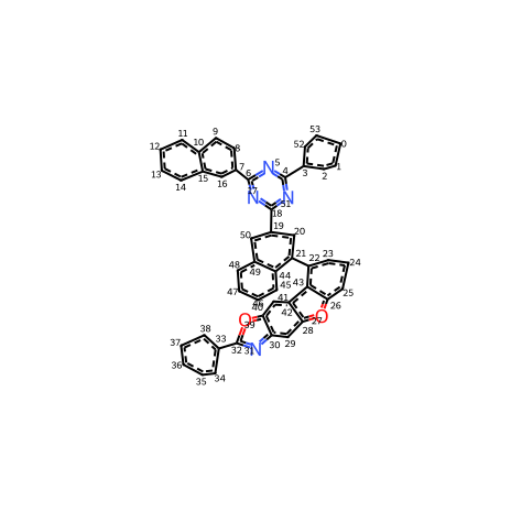 c1ccc(-c2nc(-c3ccc4ccccc4c3)nc(-c3cc(-c4cccc5oc6cc7nc(-c8ccccc8)oc7cc6c45)c4ccccc4c3)n2)cc1